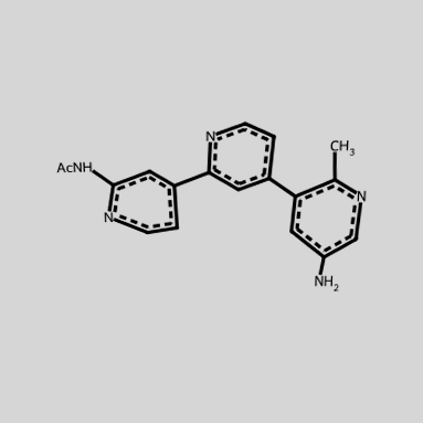 CC(=O)Nc1cc(-c2cc(-c3cc(N)cnc3C)ccn2)ccn1